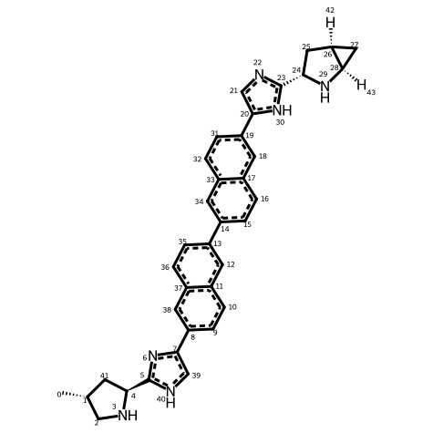 C[C@H]1CN[C@H](c2nc(-c3ccc4cc(-c5ccc6cc(-c7cnc([C@@H]8C[C@H]9C[C@H]9N8)[nH]7)ccc6c5)ccc4c3)c[nH]2)C1